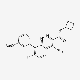 COc1cccc(-c2c(F)ccc3c(N)c(C(=O)NC4CCC4)nnc23)c1